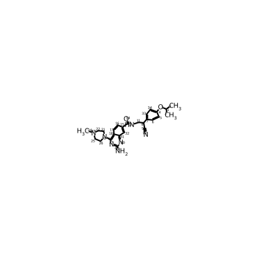 CC(C)Oc1ccc(C(C#N)CNC(=O)c2ccc3c(N4CCN(C)CC4)nc(N)nc3c2)cc1